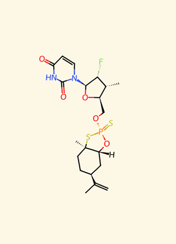 C=C(C)[C@H]1CC[C@@]2(C)S[P@](=S)(OC[C@H]3O[C@@H](n4ccc(=O)[nH]c4=O)[C@H](F)[C@@H]3C)O[C@@H]2C1